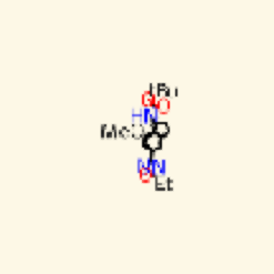 CCc1nc(-c2cc3c(c(OC)c2)[C@H](NC(=O)OC(C)(C)C)CC3)no1